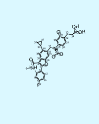 CNC(=O)c1c(-c2ccc(F)cc2)oc2cc(CN(c3ccc(CCB(O)O)c(Cl)c3)[SH](=O)=O)c(C3CC3)cc12